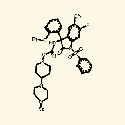 CCOc1ccccc1C1(NC(=O)ON2CCC(N3CCN(CC)CC3)CC2)C(=O)N(S(=O)(=O)c2ccccc2)c2cc(F)c(C#N)cc21